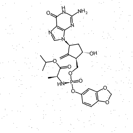 C=C1[C@H](CO[P@@](=O)(N[C@@H](C)C(=O)OC(C)C)Oc2ccc3c(c2)OCO3)[C@@H](O)C[C@@H]1n1cnc2c(=O)[nH]c(N)nc21